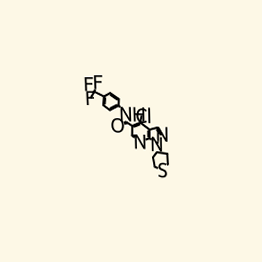 O=C(Nc1ccc(C(F)(F)F)cc1)c1cnc2c(cnn2C2CCSCC2)c1Cl